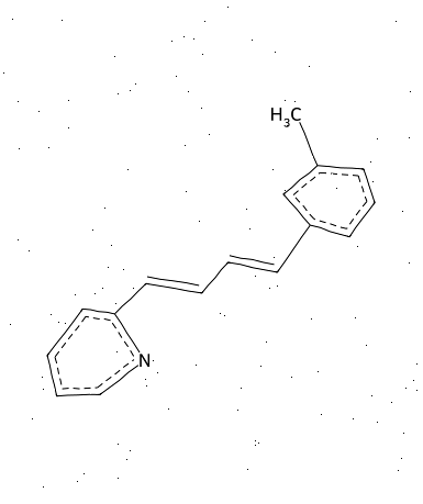 Cc1cccc(C=CC=Cc2ccccn2)c1